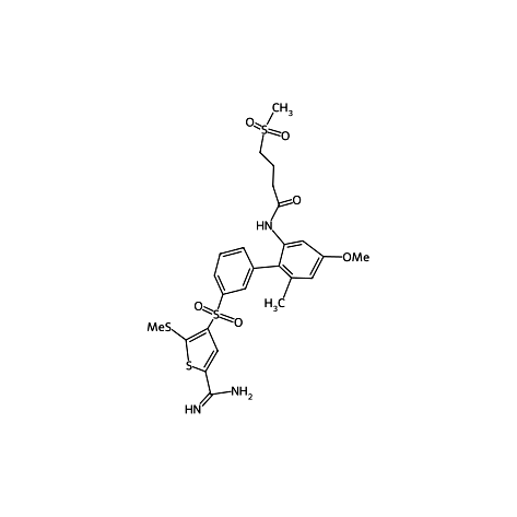 COc1cc(C)c(-c2cccc(S(=O)(=O)c3cc(C(=N)N)sc3SC)c2)c(NC(=O)CCCS(C)(=O)=O)c1